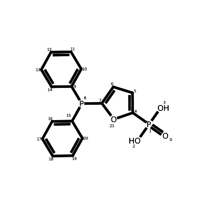 O=P(O)(O)c1ccc(P(c2ccccc2)c2ccccc2)o1